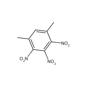 Cc1cc(C)c([N+](=O)[O-])c([N+](=O)[O-])c1[N+](=O)[O-]